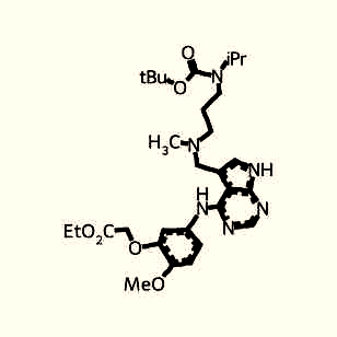 CCOC(=O)COc1cc(Nc2ncnc3[nH]cc(CN(C)CCCN(C(=O)OC(C)(C)C)C(C)C)c23)ccc1OC